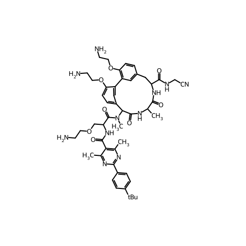 Cc1nc(-c2ccc(C(C)(C)C)cc2)nc(C)c1C(=O)NC(COCCN)C(=O)N(C)C1C(=O)NC(C)C(=O)NC(C(=O)NCC#N)Cc2ccc(OCCN)c(c2)-c2cc1ccc2OCCN